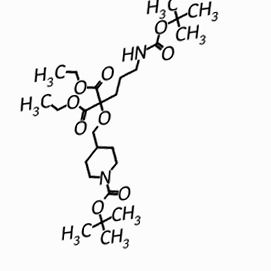 CCOC(=O)C(CCCNC(=O)OC(C)(C)C)(OCC1CCN(C(=O)OC(C)(C)C)CC1)C(=O)OCC